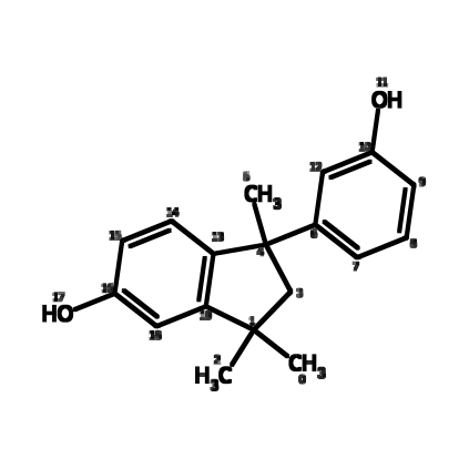 CC1(C)CC(C)(c2cccc(O)c2)c2ccc(O)cc21